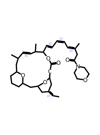 C/C=C1\CC2CC(=O)OC(/C=C/C=C\C=C(/C)CC(=O)N3CCOCC3)C(C)/C=C/C(C)CC3CCCC(CC(C1)O2)O3